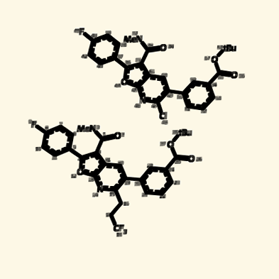 CNC(=O)c1c(-c2ccc(F)cc2)oc2nc(CCC(F)(F)F)c(-c3cccc(C(=O)OC(C)(C)C)c3)cc12.CNC(=O)c1c(-c2ccc(F)cc2)oc2nc(Cl)c(-c3cccc(C(=O)OC(C)(C)C)c3)cc12